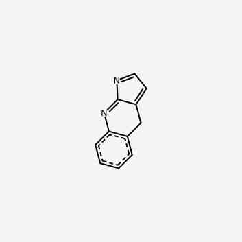 C1=NC2=Nc3ccccc3CC2=C1